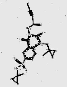 CC#CC(=O)Nn1c(=O)c2cc(S(=O)(=O)NC3(C)CC3)ccc2n(CC2(C)CC2)c1=O